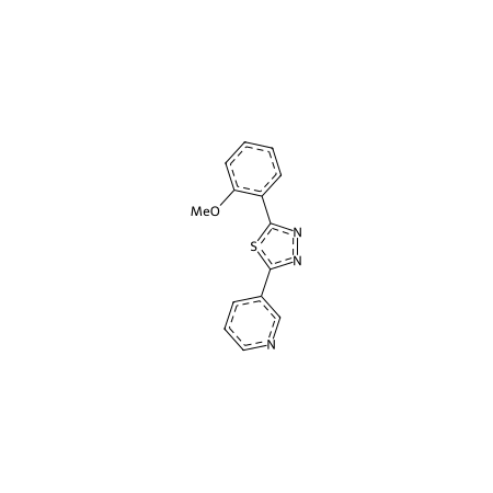 COc1ccccc1-c1nnc(-c2cccnc2)s1